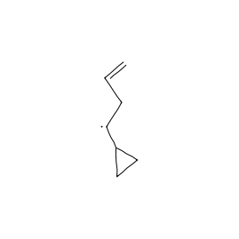 C=CC[CH]C1CC1